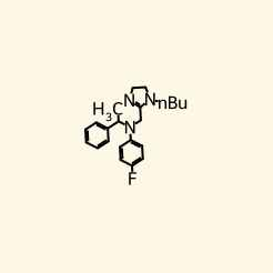 CCCCN1CCN=C1CN(c1ccc(F)cc1)C(C)c1ccccc1